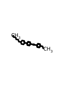 CCCCCCC1CC=C(c2ccc(C#Cc3ccc(CCC)cc3)cc2)CC1